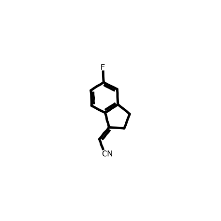 N#CC=C1CCc2cc(F)ccc21